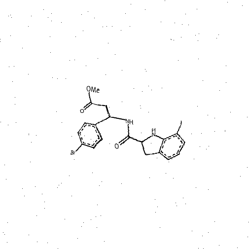 COC(=O)CC(NC(=O)C1Cc2cccc(C)c2N1)c1ccc(Br)cc1